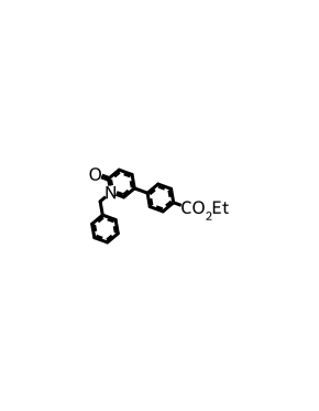 CCOC(=O)c1ccc(-c2ccc(=O)n(Cc3ccccc3)c2)cc1